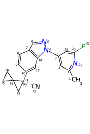 Cc1cc(-n2ncc3ccc([C@@]4(C#N)CC45CC5)cc32)cc(F)n1